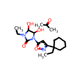 CC(C)=O.CCN1C(=O)N(c2cc(C3(CC)CCCCC3)no2)C(O)C1O